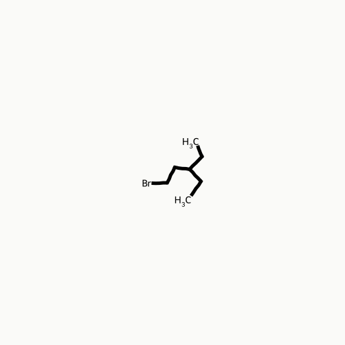 CCC(CC)CCBr